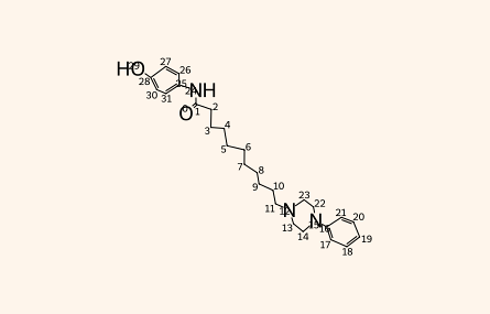 O=C(CCCCCCCCCCN1CCN(c2ccccc2)CC1)Nc1ccc(O)cc1